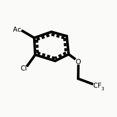 CC(=O)c1ccc(OCC(F)(F)F)cc1Cl